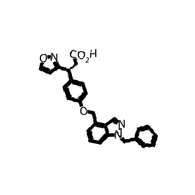 O=C(O)C[C@@H](c1ccc(OCc2cccc3c2cnn3Cc2ccccc2)cc1)c1ccon1